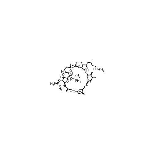 C=C1CCC2CC(=C)C(CC[C@H]3C[C@@H](C)C(=C)C(C[C@@H]4O[C@H](C[C@H](C)CCPP)[C@H](C)C4CC(=O)C[C@H]4CC[C@@H]5O[C@@H]6[C@@H](O[C@H](C1)[C@@H]6OP(P)P)[C@@H](OP(P)P)[C@H]5O4)O3)O2